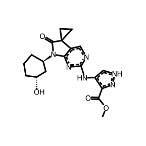 COC(=O)c1n[nH]cc1Nc1ncc2c(n1)N([C@@H]1CCC[C@@H](O)C1)C(=O)C21CC1